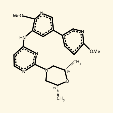 COc1ccc(-c2cnc(OC)c(Nc3ccnc(N4C[C@@H](C)O[C@@H](C)C4)n3)c2)cn1